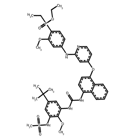 CCOP(=O)(CC)c1ccc(Nc2cc(Oc3ccc(NC(=O)Nc4cc(C(C)(C)C)cc(NS(C)(=O)=O)c4OC)c4ccccc34)ccn2)cc1OC